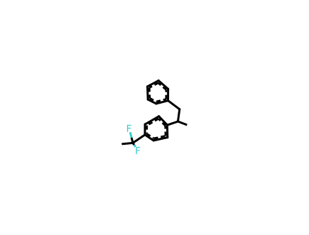 CC(Cc1ccccc1)c1ccc(C(C)(F)F)cc1